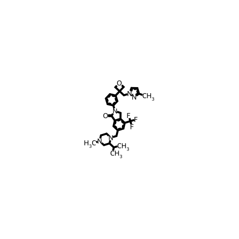 Cc1ccn(CC2(c3cccc(N4Cc5c(cc(CN6CCN(C)CC6C(C)C)cc5C(F)(F)F)C4=O)c3)COC2)n1